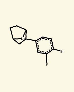 Fc1cc(C2CC3CCC2N3)ccc1Br